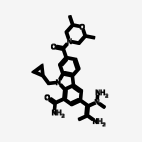 C/C(N)=C(\c1cc(C(N)=O)c2c(c1)c1ccc(C(=O)N3CC(C)OC(C)C3)cc1n2CC1CC1)N(C)N